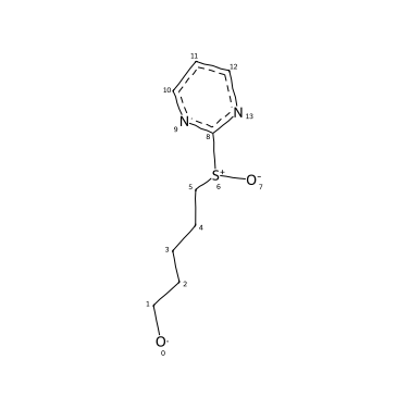 [O]CCCCC[S+]([O-])c1ncccn1